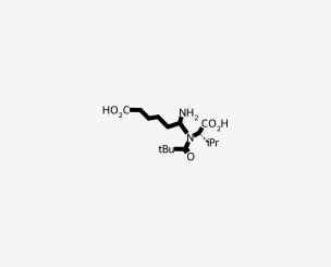 CC(C)[C@@H](C(=O)O)N(C(=O)C(C)(C)C)C(N)CCCCC(=O)O